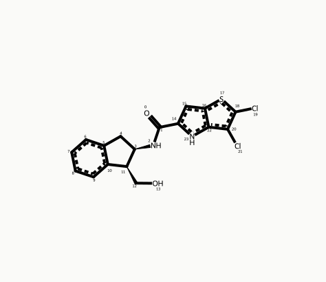 O=C(N[C@@H]1Cc2ccccc2[C@@H]1CO)c1cc2sc(Cl)c(Cl)c2[nH]1